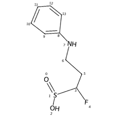 O=S(O)C(F)CCNc1ccccc1